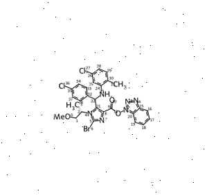 COC[C@H](C)n1c(Br)nc(C(=O)On2nnc3ccccc32)c1C(Nc1cc(Cl)ccc1C)c1ccc(Cl)cc1